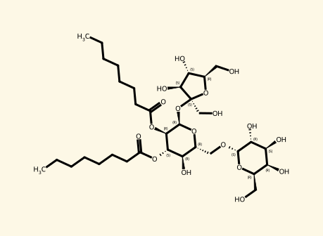 CCCCCCCC(=O)O[C@H]1[C@@H](O[C@]2(CO)O[C@H](CO)[C@@H](O)[C@@H]2O)O[C@H](CO[C@H]2O[C@H](CO)[C@H](O)[C@H](O)[C@H]2O)[C@@H](O)[C@@H]1OC(=O)CCCCCCC